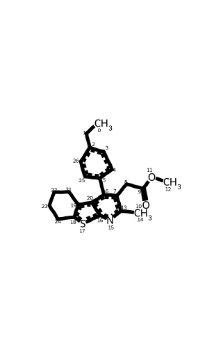 CCc1ccc(-c2c(CC(=O)OC)c(C)nc3sc4c(c23)CCCC4)cc1